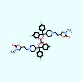 CN1CC(CCN2CCC(C(OC(=O)C(=O)OC(c3ccc(F)cc3)(c3ccc(F)cc3)C3CCN(CCC4CN(C)C(=O)O4)CC3)(c3ccc(F)cc3)c3ccc(F)cc3)CC2)OC1=O